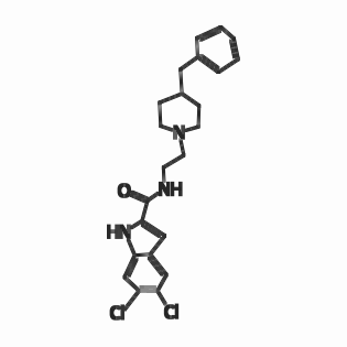 O=C(NCCN1CCC(Cc2ccccc2)CC1)c1cc2cc(Cl)c(Cl)cc2[nH]1